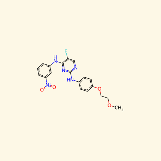 COCCOc1ccc(Nc2ncc(F)c(Nc3cccc([N+](=O)[O-])c3)n2)cc1